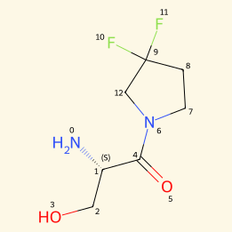 N[C@@H](CO)C(=O)N1CCC(F)(F)C1